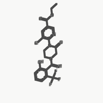 CCOC(=O)c1cnc(N2CCN(C(=N)c3c(O)cccc3C(F)(F)F)CC2=O)c(Cl)c1